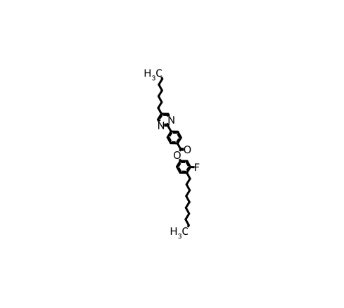 CCCCCCCCCCc1ccc(OC(=O)c2ccc(-c3ncc(CCCCCCC)cn3)cc2)cc1F